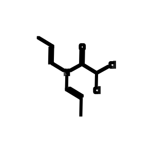 CC=CN(C=CC)C(=O)C(Cl)Cl